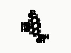 CCOc1ccc2nc3cc(N(O)O)ccc3c(N(O)O)c2c1